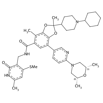 CSc1cc(C)[nH]c(=O)c1CNC(=O)c1cc(-c2ccc(N3C[C@@H](C)O[C@@H](C)C3)nc2)c2c(c1C)OC(C)(C1CCN(C3CCCCC3)CC1)O2